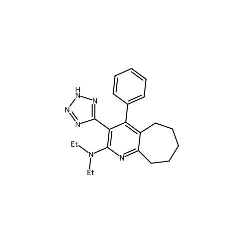 CCN(CC)c1nc2c(c(-c3ccccc3)c1-c1nn[nH]n1)CCCCC2